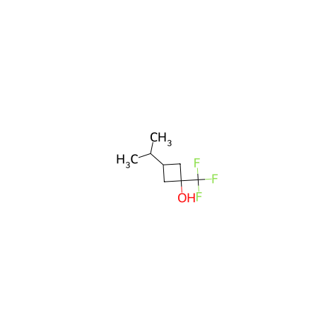 CC(C)C1CC(O)(C(F)(F)F)C1